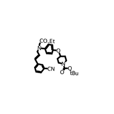 CCOC(=O)CN(CC=Cc1cccc(C#N)c1)c1ccc(OC2CCN(C(=O)OC(C)(C)C)CC2)cc1